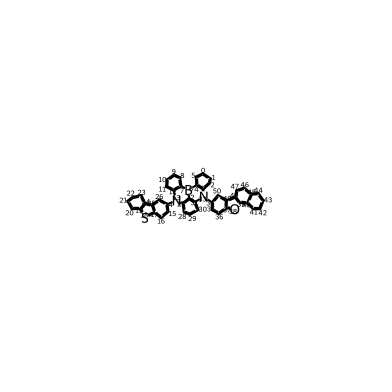 c1ccc2c(c1)B1c3ccccc3N(c3ccc4sc5ccccc5c4c3)c3cccc(c31)N2c1ccc2oc3c4ccccc4ccc3c2c1